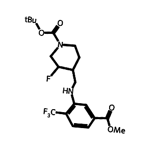 COC(=O)c1ccc(C(F)(F)F)c(NCC2CCN(C(=O)OC(C)(C)C)CC2F)c1